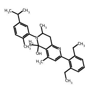 BC1(O)c2c(C)cc(-c3c(CC)cccc3CC)nc2CC(C)N1c1cc(C(C)C)ccc1C